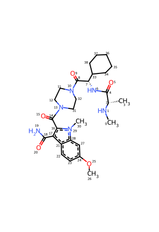 CN[C@@H](C)C(=O)N[C@H](C(=O)N1CCN(C(=O)c2c(C(N)=O)c3ccc(OC)cc3n2C)CC1)C1CCCCC1